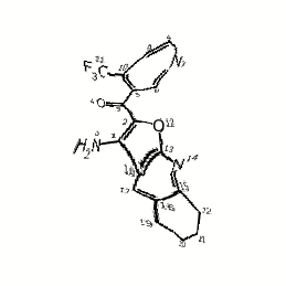 Nc1c(C(=O)c2cnccc2C(F)(F)F)oc2nc3c(cc12)CCCC3